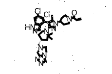 C=CC(=O)N1CCC(n2nc(N3CC[C@@H](CN4CCn5cnnc5C4)CC3(C)C)c(-c3c(Cl)c(Cl)cc4[nH]ncc34)c2C)CC1